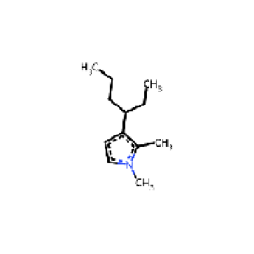 CCCC(CC)c1ccn(C)c1C